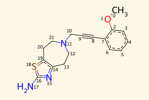 COc1ccccc1C#CCN1CCc2nc(N)sc2CC1